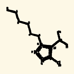 CCCCCCn1nnc(Cl)c1C(C)C